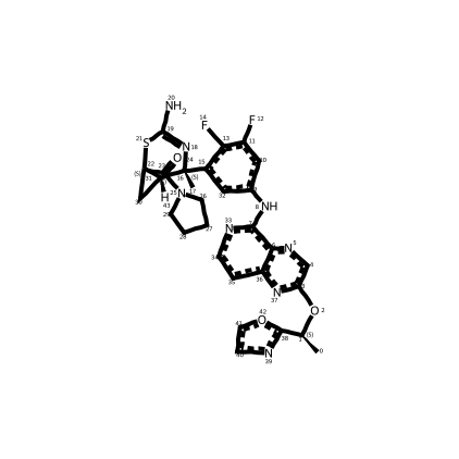 C[C@H](Oc1cnc2c(Nc3cc(F)c(F)c([C@@]4(C)N=C(N)S[C@@]5(C(=O)N6CCCC6)C[C@H]54)c3)nccc2n1)c1ncco1